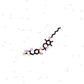 CCCCCCCOc1c(C)c(C)c2c(c1C)CCC(C)(COc1ccc(/C=C3/SC(=O)NC3=O)cc1Br)O2